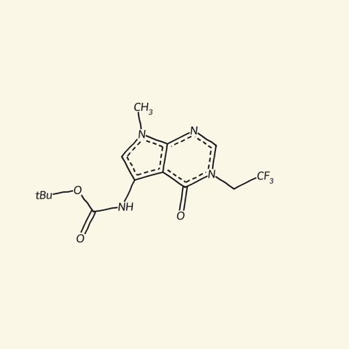 Cn1cc(NC(=O)OC(C)(C)C)c2c(=O)n(CC(F)(F)F)cnc21